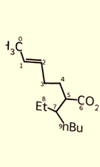 CC=CCCC(C(=O)O)C(CC)CCCC